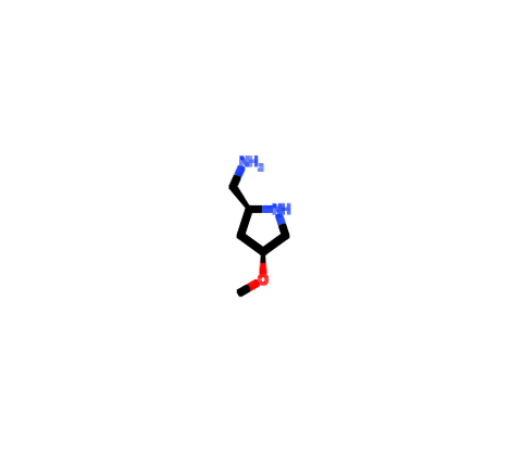 CO[C@@H]1CN[C@H](CN)C1